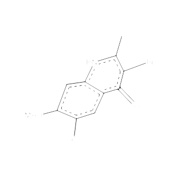 COc1cc2[nH]c(C)c(Br)c(=O)c2cc1Cl